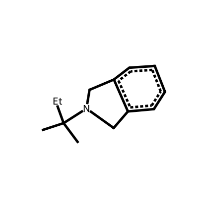 CCC(C)(C)N1Cc2ccccc2C1